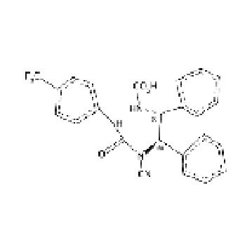 N#CN(C(=O)Nc1ccc(C(F)(F)F)cc1)[C@H](c1ccccc1)[C@H](NC(=O)O)c1ccccc1